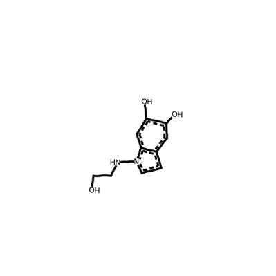 OCCNn1ccc2cc(O)c(O)cc21